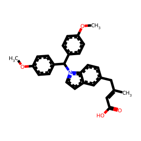 COc1ccc(C(c2ccc(OC)cc2)n2ccc3cc(CC(C)=CC(=O)O)ccc32)cc1